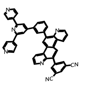 N#Cc1cc(C#N)cc(-c2cc3c4cccnc4c(-c4cccc(-c5cc(-c6ccncc6)nc(-c6ccncc6)c5)c4)cc3c3cccnc23)c1